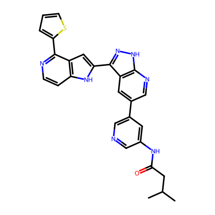 CC(C)CC(=O)Nc1cncc(-c2cnc3[nH]nc(-c4cc5c(-c6cccs6)nccc5[nH]4)c3c2)c1